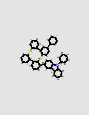 c1ccc(-c2ccc3c(c2)-c2ccccc2Sc2ccccc2-c2cccc(-c4ccc5c(c4)c4ccccc4n5-c4ccccc4)c2S3)cc1